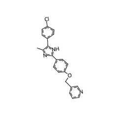 Cc1nc(-c2ccc(OCc3cccnc3)cc2)[nH]c1-c1ccc(Cl)cc1